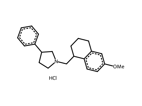 COc1ccc2c(c1)CCCC2CN1CCC(c2ccccc2)C1.Cl